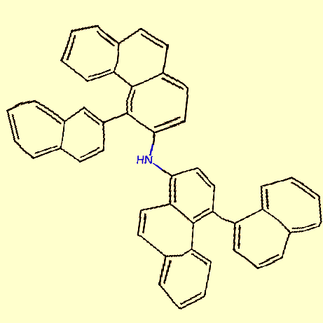 c1ccc2cc(-c3c(Nc4ccc(-c5cccc6ccccc56)c5c4ccc4ccccc45)ccc4ccc5ccccc5c34)ccc2c1